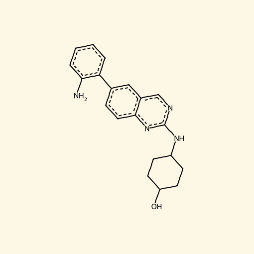 Nc1ccccc1-c1ccc2nc(NC3CCC(O)CC3)ncc2c1